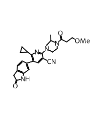 COCCC(=O)N1CCN(c2nc(C3CC3)c(-c3ccc4c(c3)NC(=O)C4)cc2C#N)CC1C